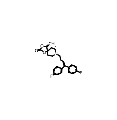 C=C1OC(=O)OC12CCN(CCC=C(c1ccc(F)cc1)c1ccc(F)cc1)CC2